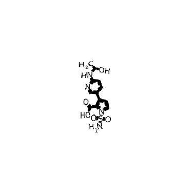 CC(O)Nc1ccc(-c2ccn(S(N)(=O)=O)c2C(=O)O)cn1